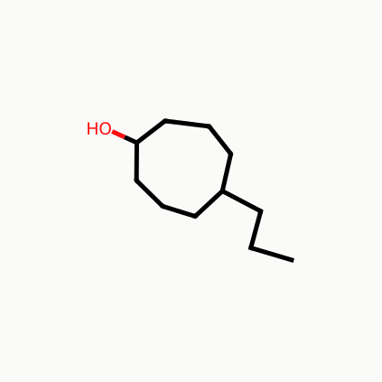 CCCC1CCCC(O)CCC1